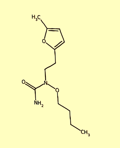 CCCCON(CCc1ccc(C)o1)C(N)=O